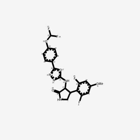 COc1cc(F)c(C2CNC(=O)C2Nc2nnc(-c3ccc(OC(F)F)cc3)o2)c(F)c1